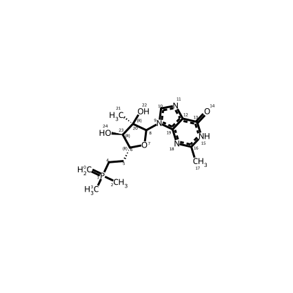 C=P(C)(C)CC[C@H]1OC(n2cnc3c(=O)[nH]c(C)nc32)[C@](C)(O)[C@@H]1O